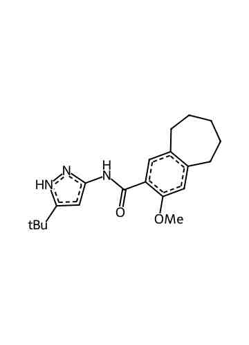 COc1cc2c(cc1C(=O)Nc1cc(C(C)(C)C)[nH]n1)CCCCC2